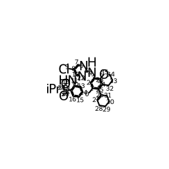 Cc1cc(Nc2ncc(Cl)c(Nc3ccccc3S(=O)(=O)C(C)C)n2)c2c(c1C1=CCCCC1)CCCO2